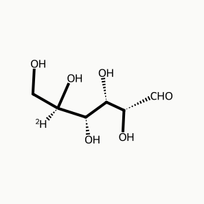 [2H][C@@](O)(CO)[C@@H](O)[C@H](O)[C@@H](O)C=O